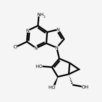 Nc1nc(Cl)nc2c1ncn2C1=C(O)[C@H](O)[C@]2(CO)CC12